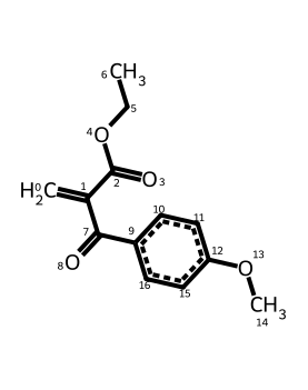 C=C(C(=O)OCC)C(=O)c1ccc(OC)cc1